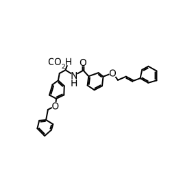 O=C(NC(Cc1ccc(OCc2ccccc2)cc1)C(=O)O)c1cccc(OCC=Cc2ccccc2)c1